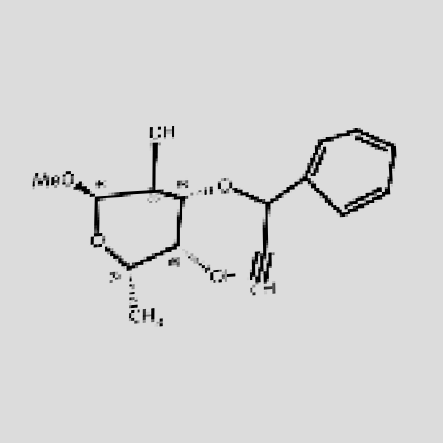 C#CC(O[C@H]1[C@H](O)[C@H](OC)O[C@@H](C)[C@H]1O)c1ccccc1